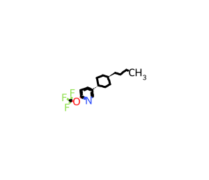 CCCC[C@H]1CC[C@H](c2ccc(OC(F)(F)F)nc2)CC1